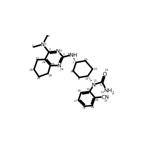 CN(C)c1nc(N[C@H]2CC[C@@H](N(C(N)=O)c3ccccc3C#N)CC2)nc2c1CCCC2